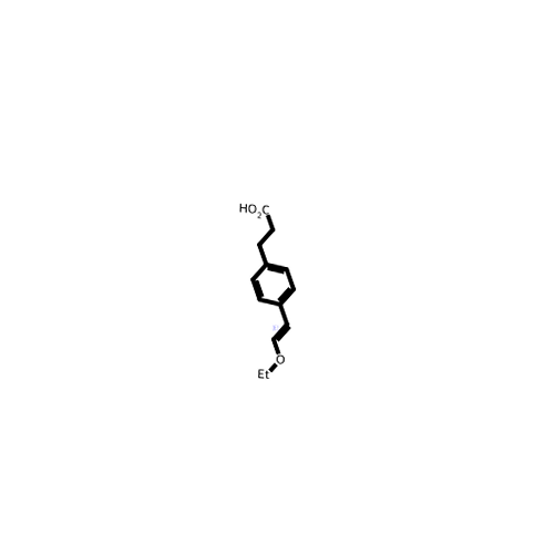 CCO/C=C/c1ccc(CCC(=O)O)cc1